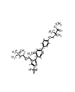 COC(=O)C(C)(C)COc1ccc(-c2cc(C)c(-c3nc(C(F)(F)F)cn3COCCS(C)(C)C)cn2)cc1